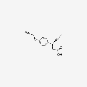 C#CCOc1ccc([C@@H](C#CC)CC(=O)O)cc1